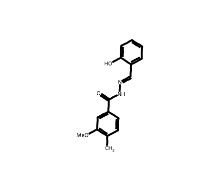 COc1cc(C(=O)NN=Cc2ccccc2O)ccc1C